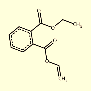 C=COC(=O)c1ccccc1C(=O)OCC